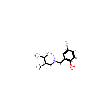 CC(C)[C@H](C)CNCc1cc(Cl)ccc1O